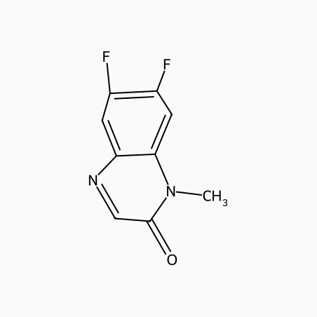 Cn1c(=O)cnc2cc(F)c(F)cc21